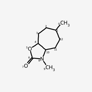 CC1CCC2OC(=O)N(C)C2CC1